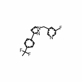 CC(F)(F)c1ccc(-c2ccn(Cc3cncc(F)c3)n2)cc1